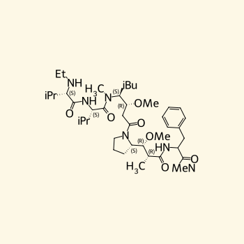 CCN[C@H](C(=O)N[C@H](C(=O)N(C)[C@@H](C(C)CC)[C@@H](CC(=O)N1CCC[C@H]1[C@H](OC)[C@@H](C)C(=O)NC(Cc1ccccc1)C(=O)NC)OC)C(C)C)C(C)C